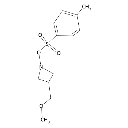 COCC1CN(OS(=O)(=O)c2ccc(C)cc2)C1